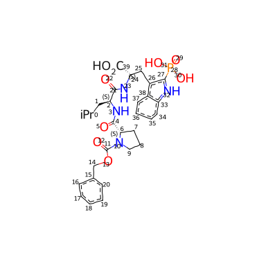 CC(C)C[C@H](NC(=O)[C@@H]1CCCN1C(=O)OCc1ccccc1)C(=O)N[C@@H](Cc1c(P(=O)(O)O)[nH]c2ccccc12)C(=O)O